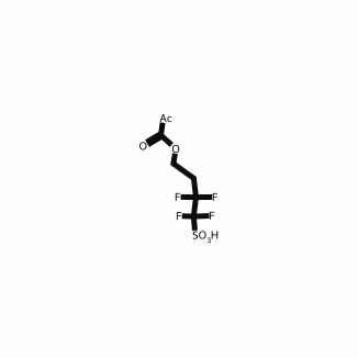 CC(=O)C(=O)OCCC(F)(F)C(F)(F)S(=O)(=O)O